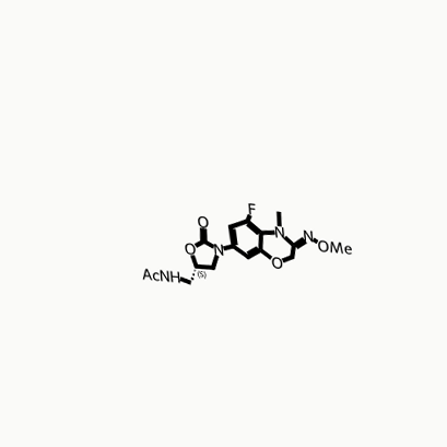 CON=C1COc2cc(N3C[C@H](CNC(C)=O)OC3=O)cc(F)c2N1C